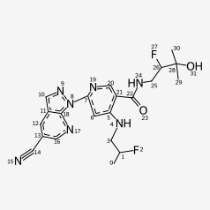 CC(F)CNc1cc(-n2ncc3cc(C#N)cnc32)ncc1C(=O)NCC(F)C(C)(C)O